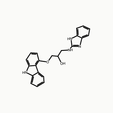 OC(CNc1nc2ccccc2[nH]1)COc1cccc2[nH]c3ccccc3c12